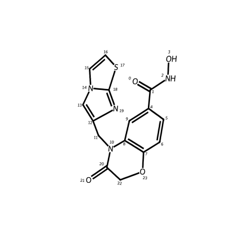 O=C(NO)c1ccc2c(c1)N(Cc1cn3ccsc3n1)C(=O)CO2